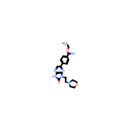 CCOC(=N)c1ccc(-c2cnc3[nH]c(=O)n(CCN4CCOCC4)c3n2)cc1